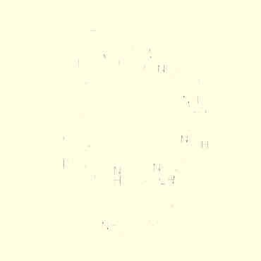 C/C=C/[C@H]1OC(=O)[C@@H](C)NC(=O)[C@H](C(C)CC)NC(=O)CN(C)C(=O)[C@@H](Cc2ccc(Cl)cc2)N(C)C(=O)[C@H](CCCCN)NC(=O)[C@@H](CC(C)C)OC(=O)/C(C)=C/CC[C@@H]1C